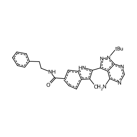 CC(C)(C)n1nc(-c2[nH]c3cc(C(=O)NCCc4ccccc4)ccc3c2Cl)c2c(N)ncnc21